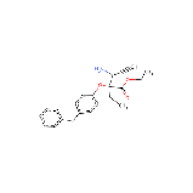 C#CC(N)C(CC)(Oc1ccc(Cc2ccccc2)cc1)C(=O)OCC